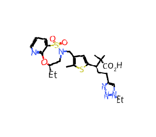 CC[C@@H]1CN(Cc2cc([C@H](CCc3cn(CC)nn3)C(C)(C)C(=O)O)sc2C)S(=O)(=O)c2cccnc2O1